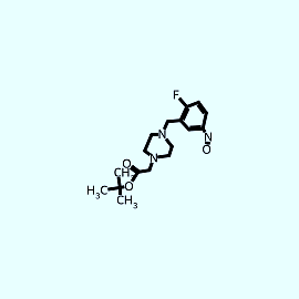 CC(C)(C)OC(=O)CN1CCN(Cc2cc(N=O)ccc2F)CC1